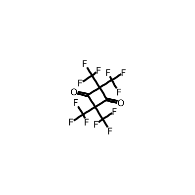 O=C1C(C(F)(F)F)(C(F)(F)F)C(=O)C1(C(F)(F)F)C(F)(F)F